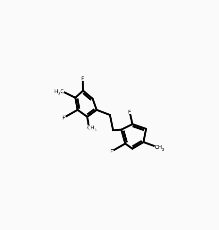 Cc1cc(F)c(CCc2cc(F)c(C)c(F)c2C)c(F)c1